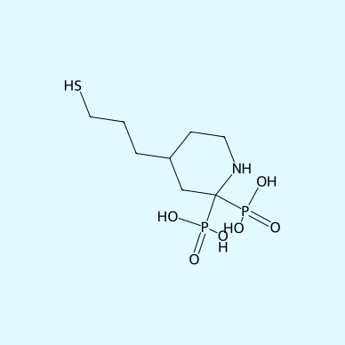 O=P(O)(O)C1(P(=O)(O)O)CC(CCCS)CCN1